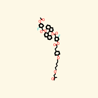 CC(=O)Oc1ccc(C(=O)Oc2ccc3ccccc3c2-c2c(OC(=O)c3ccc(OC(=O)CCc4ccc(OCCCCCCOCCC5(C)CO5)cc4)cc3F)ccc3ccccc23)c(F)c1